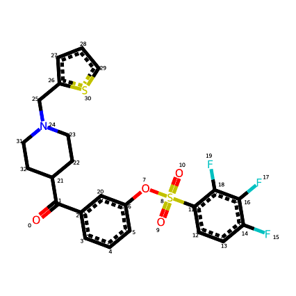 O=C(c1cccc(OS(=O)(=O)c2ccc(F)c(F)c2F)c1)C1CCN(Cc2cccs2)CC1